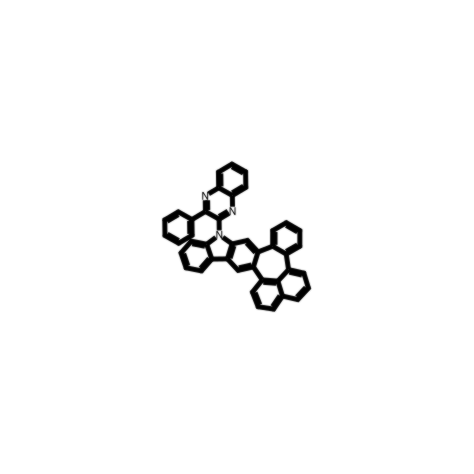 c1ccc(-c2nc3ccccc3nc2-n2c3ccccc3c3cc4c(cc32)-c2ccccc2-c2cccc3cccc-4c23)cc1